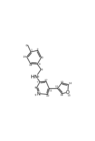 Cc1ccc(CNc2cncc(-c3ccoc3)c2)cc1